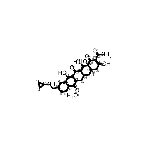 COc1c2c(c(O)c3cc(CNC4CC4)ccc13)C(=O)C1=C(O)[C@]3(O)C(=O)C(C(N)=O)=C(O)C[C@@H]3CC1C2